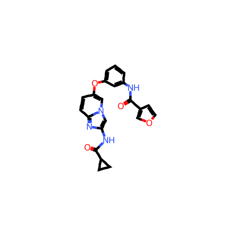 O=C(Nc1cccc(Oc2ccc3nc(NC(=O)C4CC4)cn3c2)c1)c1ccoc1